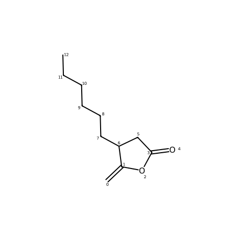 C=C1OC(=O)CC1CCCCCC